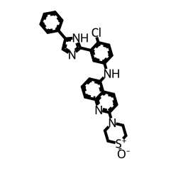 [O-][S+]1CCN(c2ccc3c(Nc4ccc(Cl)c(-c5ncc(-c6ccccc6)[nH]5)c4)cccc3n2)CC1